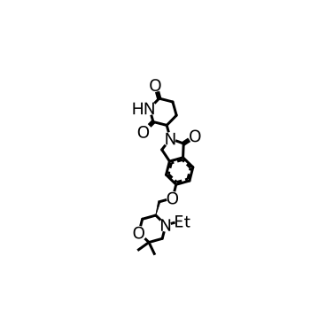 CCN1CC(C)(C)OC[C@H]1COc1ccc2c(c1)CN(C1CCC(=O)NC1=O)C2=O